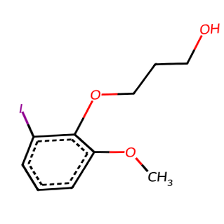 COc1cccc(I)c1OCCCO